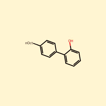 CCCCCCCCc1ccc(-c2ccccc2O)cc1